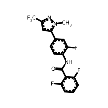 Cn1nc(C(F)(F)F)cc1-c1ccc(NC(=O)c2c(F)cccc2F)c(F)c1